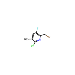 N#Cc1cc(F)c(CBr)nc1Cl